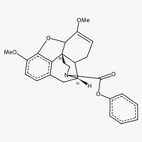 COC1=CCC2[C@@H]3Cc4ccc(OC)c5c4[C@]2(CCN3C(=O)Oc2ccccc2)C1O5